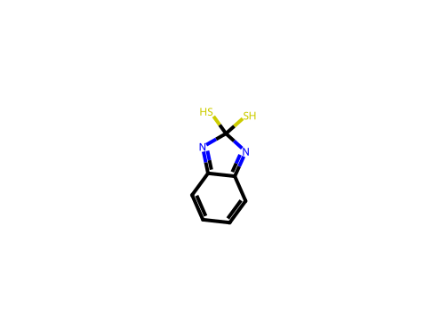 SC1(S)N=c2ccccc2=N1